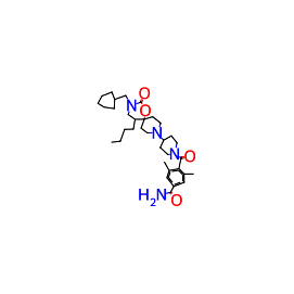 CCCCC1CN(CC2CCCCC2)C(=O)OC12CCN(C1CCN(C(=O)c3c(C)cc(C(N)=O)cc3C)CC1)CC2